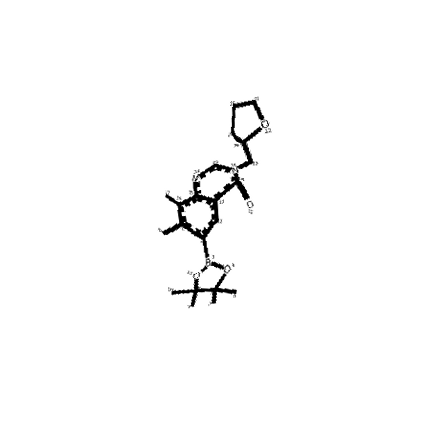 Cc1c(B2OC(C)(C)C(C)(C)O2)cc2c(=O)n(CC3CCCO3)cnc2c1C